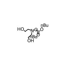 CCCCOB(OCCCC)ON(CCO)CCO